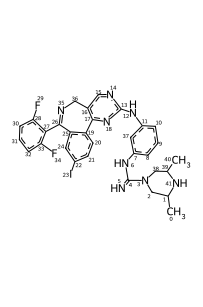 CC1CN(C(=N)Nc2cccc(Nc3ncc4c(n3)-c3ccc(I)cc3C(c3c(F)cccc3F)=NC4)c2)CC(C)N1